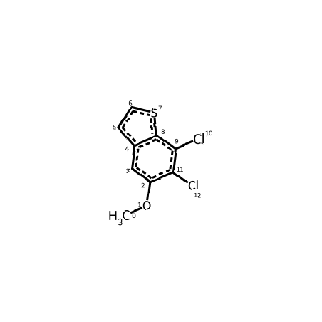 COc1cc2ccsc2c(Cl)c1Cl